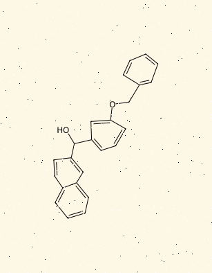 OC(c1cccc(OCc2ccccc2)c1)c1ccc2ccccc2c1